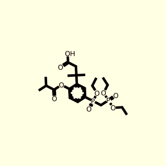 CCOP(=O)(CP(=O)(OCC)c1ccc(OC(=O)C(C)C)c(C(C)(C)CC(=O)O)c1)OCC